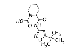 CC(C)(C)c1cc(NC(=O)C2CCCCN2C(=O)O)no1